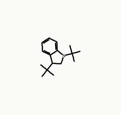 CC(C)(C)C1CN(C(C)(C)C)c2ccccc21